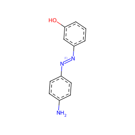 Nc1ccc(/N=N/c2cccc(O)c2)cc1